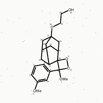 COc1cccc(C2(OC)OOC23C2CC4CC3CC(OCCO)(C4)C2)c1